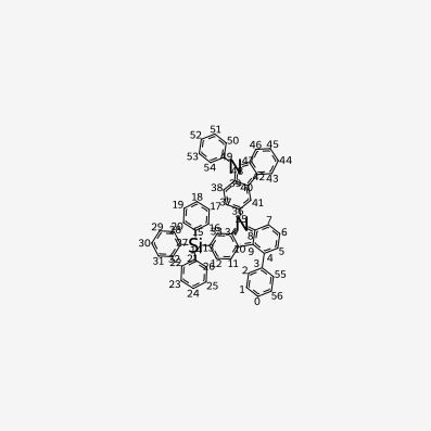 c1ccc(-c2cccc3c2c2ccc([Si](c4ccccc4)(c4ccccc4)c4ccccc4)cc2n3-c2ccc3c(c2)c2ccccc2n3-c2ccccc2)cc1